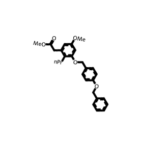 CCCc1c(CC(=O)OC)cc(OC)cc1OCc1ccc(OCc2ccccc2)cc1